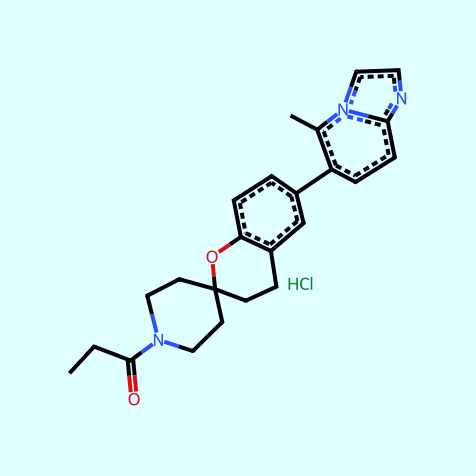 CCC(=O)N1CCC2(CCc3cc(-c4ccc5nccn5c4C)ccc3O2)CC1.Cl